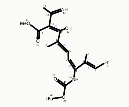 CC/C=C(C)/C(=C\C=C(C)\C(O)=C(\C(C)=N)C(=O)OC)NC(=O)OC(C)(C)C